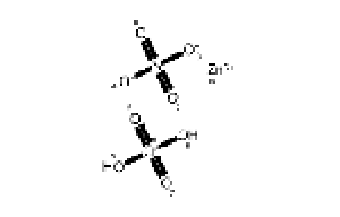 O=S(=O)([O-])[O-].[O]=[Cr](=[O])([OH])[OH].[Zn+2]